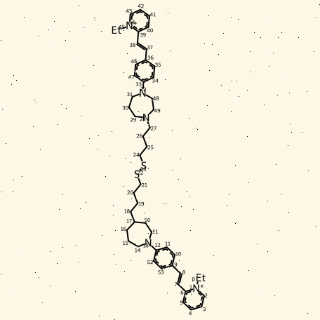 CC[n+]1ccccc1/C=C/c1ccc(N2CCCC(CCCCSSCCCCN3CCCN(c4ccc(/C=C/c5cccc[n+]5CC)cc4)CC3)CC2)cc1